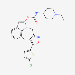 CCN1CCC(NC(=O)Oc2cc3cccc(C)c3n2Cc2cc(-c3ccc(Cl)s3)on2)CC1